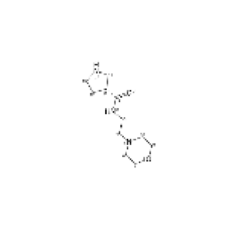 O=C(NCCN1CCOCC1)[C@@H]1CCNC1